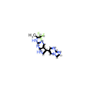 CC(Nc1ncc2c(-c3cnc4nccn4c3)c[nH]c2n1)C(F)(F)F